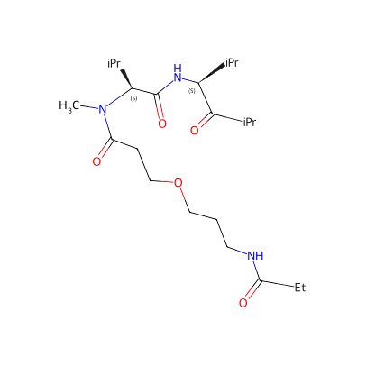 CCC(=O)NCCCOCCC(=O)N(C)[C@H](C(=O)N[C@H](C(=O)C(C)C)C(C)C)C(C)C